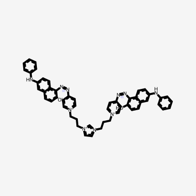 Oc1ccc2cc(Nc3ccccc3)ccc2c1/N=N\c1cc[n+](CCCn2cc[n+](CCC[n+]3ccc(/N=N\c4c(O)ccc5cc(Nc6ccccc6)ccc45)cc3)c2)cc1